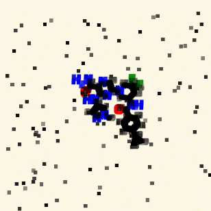 Cn1cc(Nc2nc(N3CC(NC(=O)c4ccc(C5CC5)cc4)CC(F)(F)C3)cnc2C(N)=O)cn1